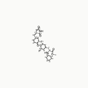 COC(=O)C(Cc1cc(F)c(Oc2ccc(C=C3SC(=O)NC3=O)cc2)c(F)c1)Nc1ccccc1